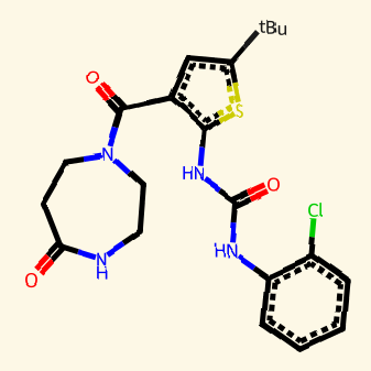 CC(C)(C)c1cc(C(=O)N2CCNC(=O)CC2)c(NC(=O)Nc2ccccc2Cl)s1